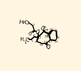 CCCC1(OC(=O)CO)CCC(=O)c2ccccc2C1=O